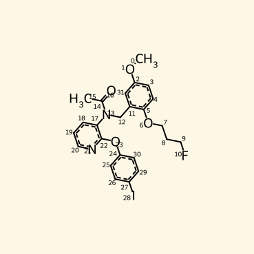 COc1ccc(OCCCF)c(CN(C(C)=O)c2cccnc2Oc2ccc(I)cc2)c1